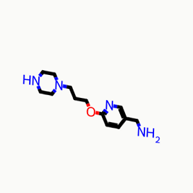 NCc1ccc(OCCCN2CCNCC2)nc1